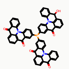 O=c1c2cc(P(c3ccc4c(c3)c(=O)c3cccc5c(=O)c6ccccc6n4c53)c3ccc4c(c3)c(=O)c3cccc5c(=O)c6ccccc6n4c53)ccc2n2c3c(cccc13)C(O)c1ccccc1-2